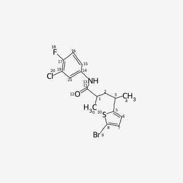 CC(CC(C)c1ccc(Br)s1)C(=O)Nc1ccc(F)c(Cl)c1